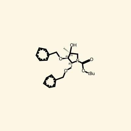 CC(C)(C)OC(=O)N1C[C@](C)(O)[C@H](OCc2ccccc2)[C@H]1COCc1ccccc1